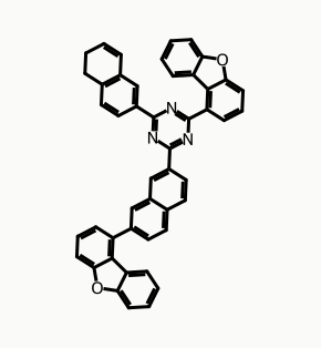 C1=Cc2cc(-c3nc(-c4ccc5ccc(-c6cccc7oc8ccccc8c67)cc5c4)nc(-c4cccc5oc6ccccc6c45)n3)ccc2CC1